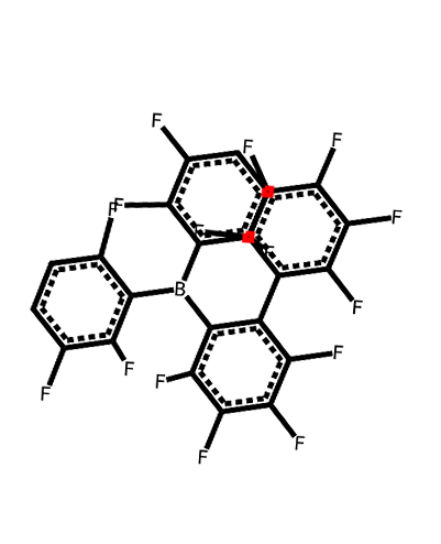 Fc1ccc(F)c(B(c2c(F)ccc(F)c2F)c2c(F)c(F)c(F)c(F)c2-c2c(F)c(F)c(F)c(F)c2F)c1F